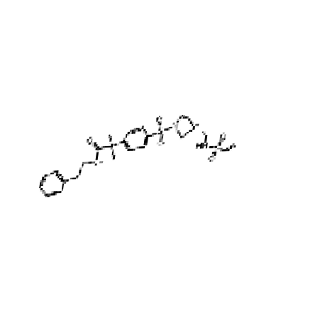 C=CS(=O)(=O)NC[C@H]1CCN(S(=O)(=O)c2ccc(C(C)(C)C(=O)NCCc3ccccc3)cc2)C1